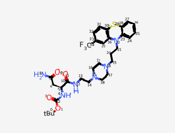 CC(C)(C)OC(=O)N[C@@H](CC(N)=O)C(=O)NCCN1CCN(CCCN2c3ccccc3Sc3ccc(C(F)(F)F)cc32)CC1